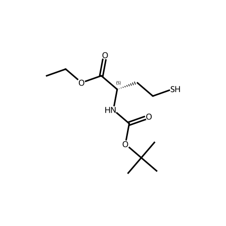 CCOC(=O)[C@H](CCS)NC(=O)OC(C)(C)C